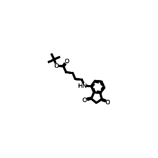 CC(C)(C)OC(=O)CCCCNc1cccc2c1C(=O)CC2=O